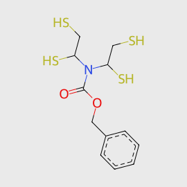 O=C(OCc1ccccc1)N(C(S)CS)C(S)CS